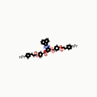 CCCc1ccc(CCC(=O)O[C@H]2CC[C@H](C(=O)Oc3ccc(OC(=O)[C@H]4CC[C@H](OC(=O)CCc5ccc(CCC)cc5)CC4)c4nc5c(nc34)-c3cccc4cccc-5c34)CC2)cc1